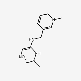 CN1C=C(CNC(=C[N+](=O)[O-])NN(C)C)C=CC1